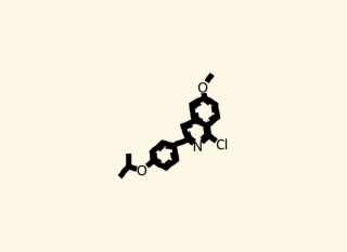 COc1ccc2c(Cl)nc(-c3ccc(OC(C)C)cc3)cc2c1